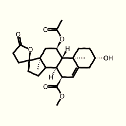 COC(=O)[C@@H]1C=C2C[C@@H](O)CC[C@]2(C)[C@@H]2[C@@H]1C1CCC3(CCC(=O)O3)[C@@]1(C)C[C@H]2OC(C)=O